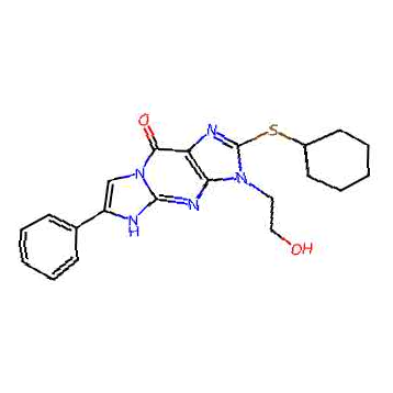 O=c1c2nc(SC3CCCCC3)n(CCO)c2nc2[nH]c(-c3ccccc3)cn12